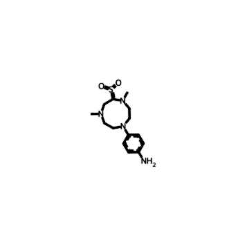 CN1CCN(c2ccc(N)cc2)CCN(C)C(=S(=O)=O)C1